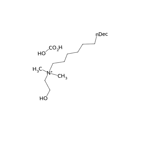 CCCCCCCCCCCCCCCC[N+](C)(C)CCO.O=C(O)O